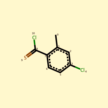 Cc1cc(Cl)ccc1C(=S)Cl